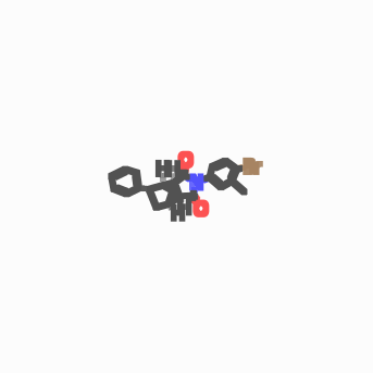 Cc1cc(N2C(=O)[C@@H]3[C@H]4C[C@H](C[C@@H]4c4ccccc4)[C@@H]3C2=O)ccc1Br